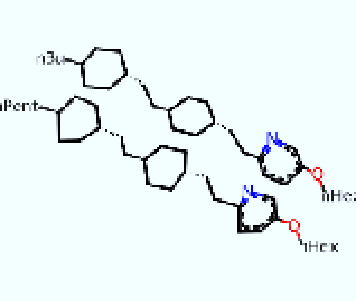 CCCCCCOc1ccc(CC[C@H]2CC[C@H](CC[C@H]3CC[C@H](CCCC)CC3)CC2)nc1.CCCCCCOc1ccc(CC[C@H]2CC[C@H](CC[C@H]3CC[C@H](CCCCC)CC3)CC2)nc1